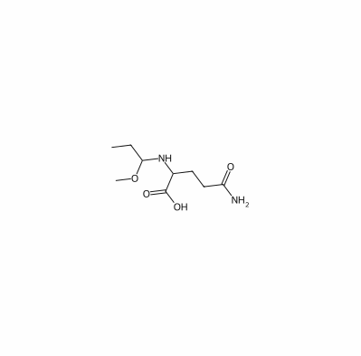 CCC(NC(CCC(N)=O)C(=O)O)OC